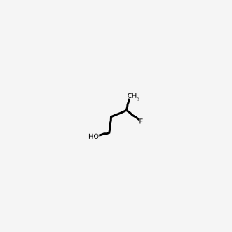 CC(F)CCO